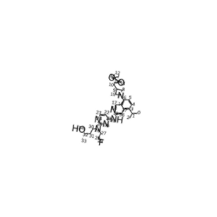 CC(C)c1ccc(N2CC(CS(C)(=O)=O)C2)c2cnc(Nc3ccnc(N(CCF)CC[C@H](C)O)n3)cc12